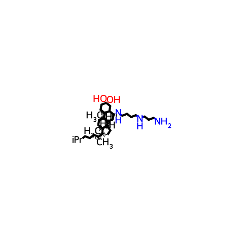 CC(C)CCC[C@@H](C)[C@H]1CC[C@H]2[C@@H]3C[C@@H](NCCCCNCCCN)C4CC(O)(O)CC[C@]4(C)[C@H]3CC[C@]12C